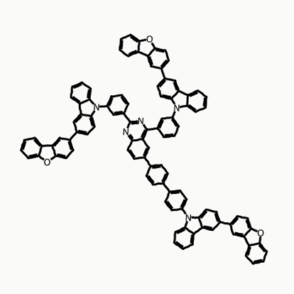 c1cc(-c2nc(-c3cccc(-n4c5ccccc5c5cc(-c6ccc7oc8ccccc8c7c6)ccc54)c3)c3cc(-c4ccc(-c5ccc(-n6c7ccccc7c7cc(-c8ccc9oc%10ccccc%10c9c8)ccc76)cc5)cc4)ccc3n2)cc(-n2c3ccccc3c3cc(-c4ccc5oc6ccccc6c5c4)ccc32)c1